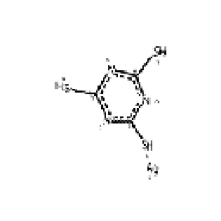 Sc1nc(S)nc(S)n1.[Ag]